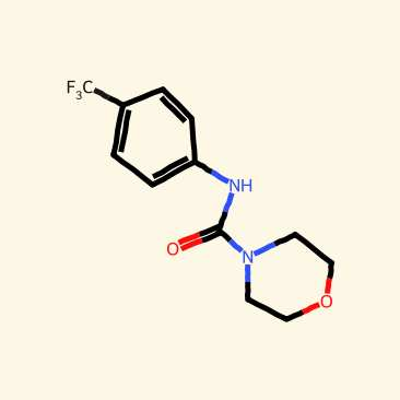 O=C(Nc1ccc(C(F)(F)F)cc1)N1CCOCC1